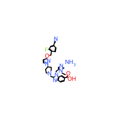 CCn1cncc1Cn1c(CN2CCC(n3ccc(OCc4ccc(C#N)cc4F)n3)CC2)nc2ccc(C(=O)O)cc21.N